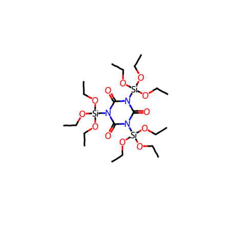 CCO[Si](OCC)(OCC)n1c(=O)n([Si](OCC)(OCC)OCC)c(=O)n([Si](OCC)(OCC)OCC)c1=O